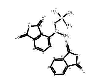 C[SiH](O[Si](C)(C)C)c1cccc2c1C(=O)OC2=O.O=C1OC(=O)c2ccccc21